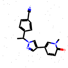 CC(c1ccc(C#N)cc1)n1cc(-c2ccc(=O)n(C)c2)cn1